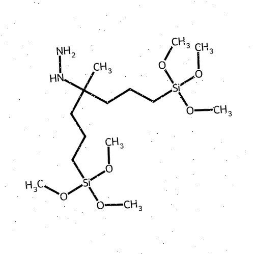 CO[Si](CCCC(C)(CCC[Si](OC)(OC)OC)NN)(OC)OC